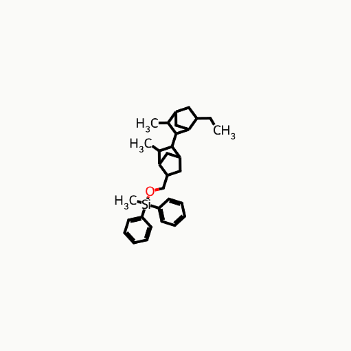 CCC1CC2CC1C(C1C3CC(CO[Si](C)(c4ccccc4)c4ccccc4)C(C3)C1C)C2C